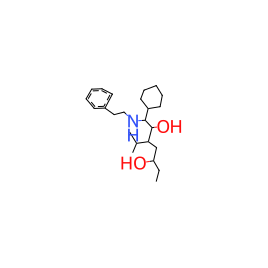 CCC(O)CC(C(C)C)C(O)C(NCCc1ccccc1)C1CCCCC1